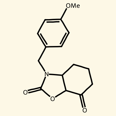 COc1ccc(CN2C(=O)OC3C(=O)CCCC32)cc1